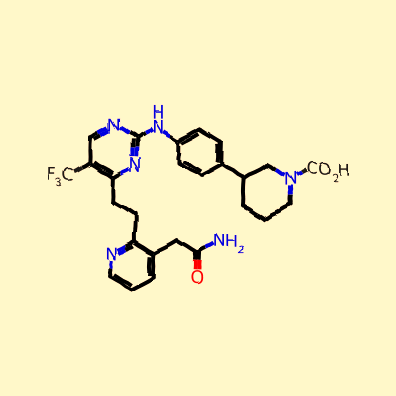 NC(=O)Cc1cccnc1CCc1nc(Nc2ccc(C3CCCN(C(=O)O)C3)cc2)ncc1C(F)(F)F